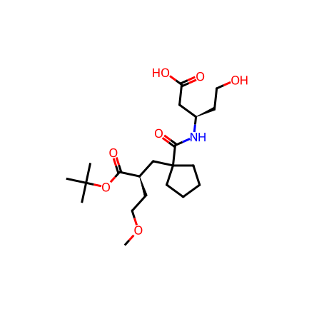 COCC[C@H](CC1(C(=O)N[C@H](CCO)CC(=O)O)CCCC1)C(=O)OC(C)(C)C